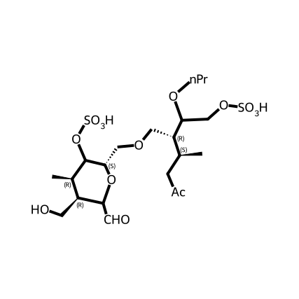 CCCOC(COS(=O)(=O)O)[C@@H](COC[C@@H]1OC(C=O)[C@@H](CO)[C@@H](C)C1OS(=O)(=O)O)[C@@H](C)CC(C)=O